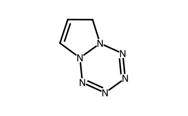 C1=CN2N=NN=NN2C1